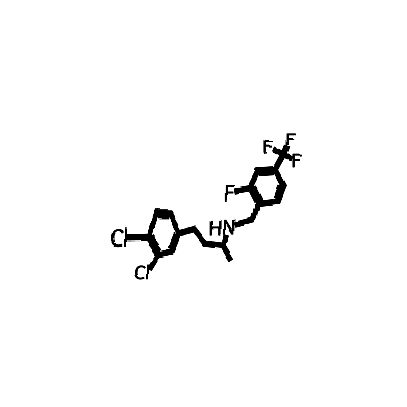 CC(CCc1ccc(Cl)c(Cl)c1)NCc1ccc(C(F)(F)F)cc1F